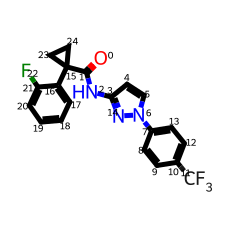 O=C(Nc1ccn(-c2ccc(C(F)(F)F)cc2)n1)C1(c2ccccc2F)CC1